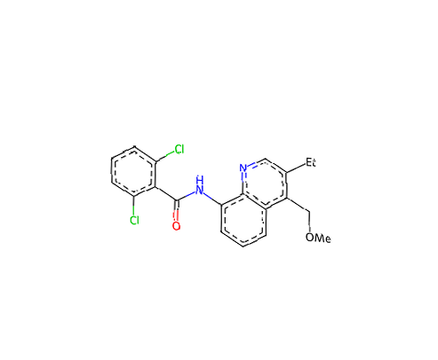 CCc1cnc2c(NC(=O)c3c(Cl)cccc3Cl)cccc2c1COC